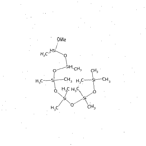 CO[SiH](C)O[SiH](C)O[Si](C)(C)O[Si](C)(C)O[Si](C)(C)O[Si](C)(C)C